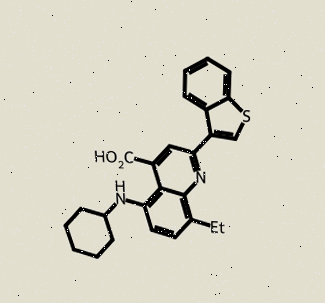 CCc1ccc(NC2CCCCC2)c2c(C(=O)O)cc(-c3csc4ccccc34)nc12